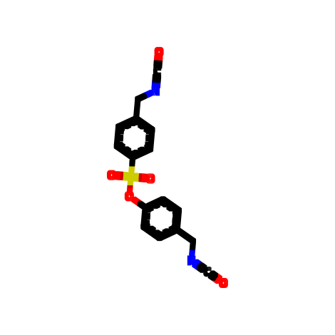 O=C=NCc1ccc(OS(=O)(=O)c2ccc(CN=C=O)cc2)cc1